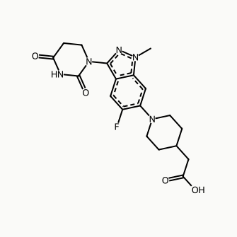 Cn1nc(N2CCC(=O)NC2=O)c2cc(F)c(N3CCC(CC(=O)O)CC3)cc21